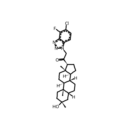 C[C@@]1(O)CC[C@@]2(C)[C@H](CC[C@@H]3[C@@H]2CC[C@]2(C)[C@@H](C(=O)Cn4nnc5c(F)c(Cl)ccc54)CC[C@@H]32)C1